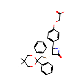 CC1(C)COC(CS[C@H]2C(=O)N[C@]2(c2ccccc2)c2ccc(OCC(=O)O)cc2)(c2ccccc2)OC1